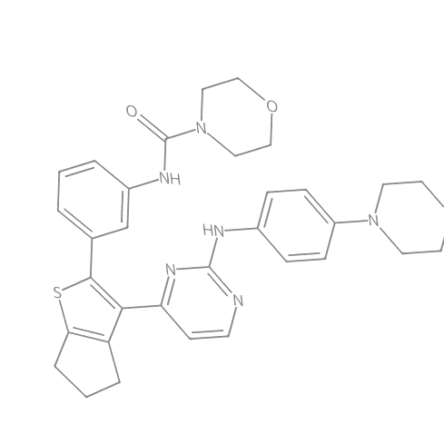 O=C(Nc1cccc(-c2sc3c(c2-c2ccnc(Nc4ccc(N5CCOCC5)cc4)n2)CCC3)c1)N1CCOCC1